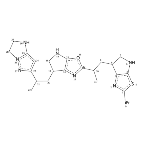 CC(C)c1nc2c(s1)NCC2CC(C)c1nc2c(o1)NCC2CC(C)c1cc2n(n1)CCN2